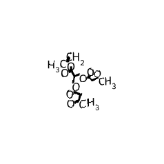 C=C(C)OC(=O)C(COC(=O)CC(C)=O)COC(=O)CC(C)=O